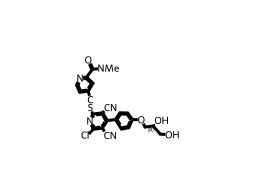 CNC(=O)c1cc(CSc2nc(Cl)c(C#N)c(-c3ccc(OC[C@H](O)CO)cc3)c2C#N)ccn1